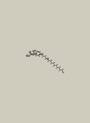 CCCC(N[S+]([O-])C(C)(C)C)c1ccc(OCCCOCCCCCCCCCCI)cc1